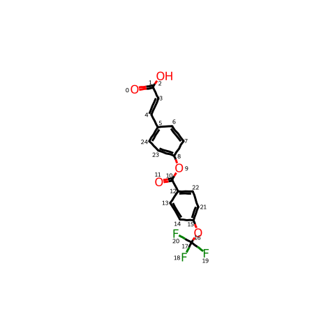 O=C(O)C=Cc1ccc(OC(=O)c2ccc(OC(F)(F)F)cc2)cc1